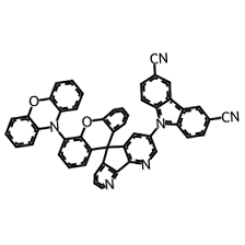 N#Cc1ccc2c(c1)c1cc(C#N)ccc1n2-c1cnc2c(c1)C1(c3ccccc3Oc3c(N4c5ccccc5Oc5ccccc54)cccc31)c1cccnc1-2